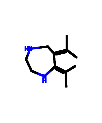 CC(C)=C1CNCCNC1=C(C)C